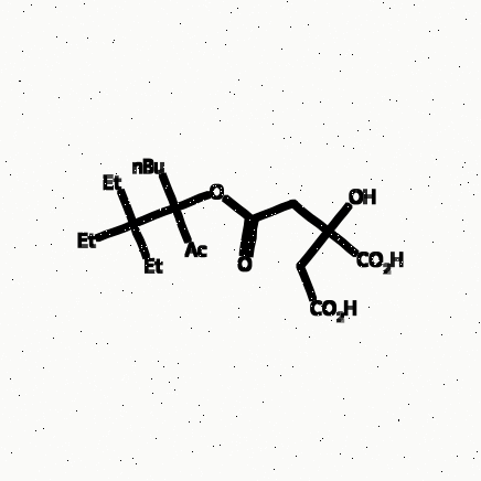 CCCCC(OC(=O)CC(O)(CC(=O)O)C(=O)O)(C(C)=O)C(CC)(CC)CC